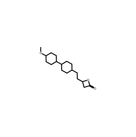 COC1CCC(C2CCC(CCC3CC(=O)O3)CC2)CC1